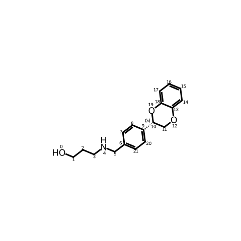 OCCCNCc1ccc([C@H]2COc3ccccc3O2)cc1